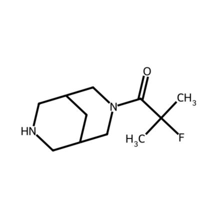 CC(C)(F)C(=O)N1CC2CNCC(C2)C1